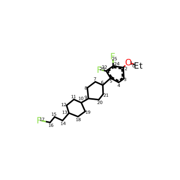 CCOc1ccc(C2CCC(C3CCC(CCCF)CC3)CC2)c(F)c1F